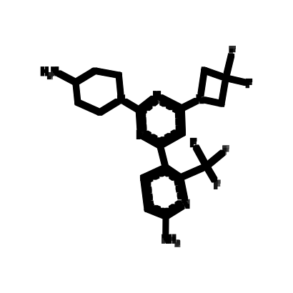 Nc1ccc(-c2cc(N3CC(F)(F)C3)nc(N3CCC(N)CC3)n2)c(C(F)(F)F)n1